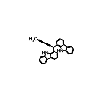 CC#CC#CC(c1cccc2c1[nH]c1ccccc12)c1cccc2c1[nH]c1ccccc12